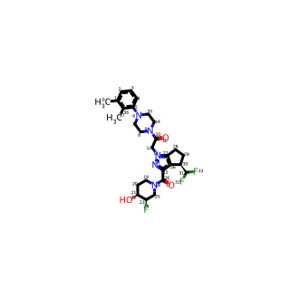 Cc1cccc(N2CCN(C(=O)Cn3nc(C(=O)N4CC[C@H](O)[C@H](F)C4)c4c3CC[C@H]4C(F)F)CC2)c1C